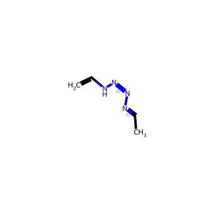 C=CN/N=N\N=C\C